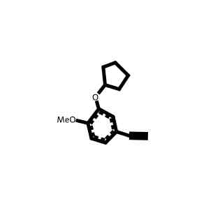 C#Cc1ccc(OC)c(OC2CCCC2)c1